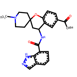 CCOC(=O)N1CCC2(CC1)CC(NC(=O)c1cccc3cn[nH]c13)c1cc(C(=O)OC)ccc1O2